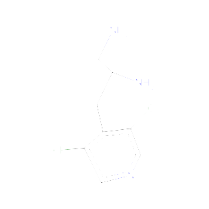 NCC(N)Cc1c(Cl)cncc1Cl